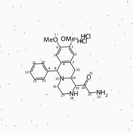 COc1cc2c(cc1OC)C(c1ccccc1)N1CCNC(C(=O)CN)C1C2.Cl.Cl